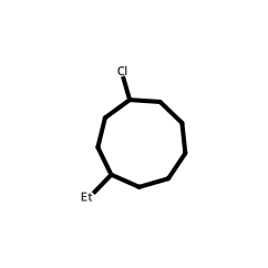 CCC1CCCCCC(Cl)CC1